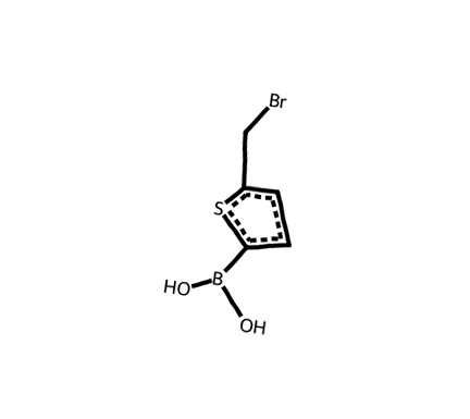 OB(O)c1ccc(CBr)s1